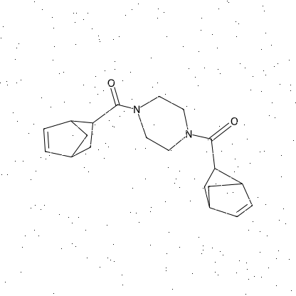 O=C(C1CC2C=CC1C2)N1CCN(C(=O)C2CC3C=CC2C3)CC1